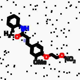 COc1cc(/C=C/C(=O)Nc2ccccc2C)ccc1OCCO[N+](=O)[O-]